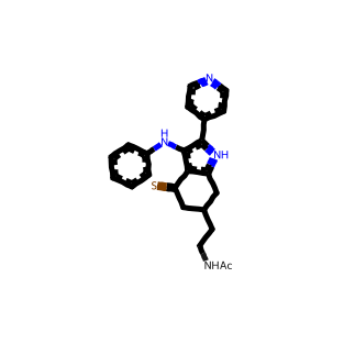 CC(=O)NCCC1CC(=S)c2c([nH]c(-c3ccncc3)c2Nc2ccccc2)C1